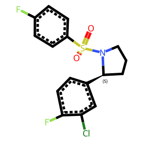 O=S(=O)(c1ccc(F)cc1)N1CCC[C@H]1c1ccc(F)c(Cl)c1